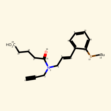 C#CCN(C/C=C/c1ccccc1SC(C)CC)C(=O)CCCC(=O)O